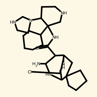 NC1NC2CC(Cl)CNC(CC23CCCC3)C1C(=O)NC1(C2CCCCC2)CNCCC1N1CCNC1